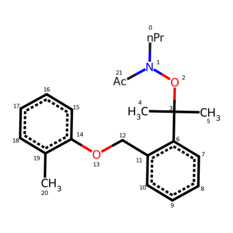 CCCN(OC(C)(C)c1ccccc1COc1ccccc1C)C(C)=O